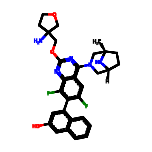 C[C@]12CC[C@H](CN(c3nc(OCC4(N)CCOC4)nc4c(F)c(-c5cc(O)cc6ccccc56)c(F)cc34)C1)N2